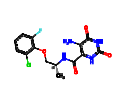 C[C@H](COc1c(F)cccc1Cl)NC(=O)c1[nH]c(=O)[nH]c(=O)c1N